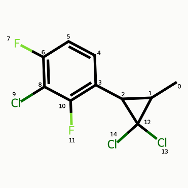 CC1C(c2ccc(F)c(Cl)c2F)C1(Cl)Cl